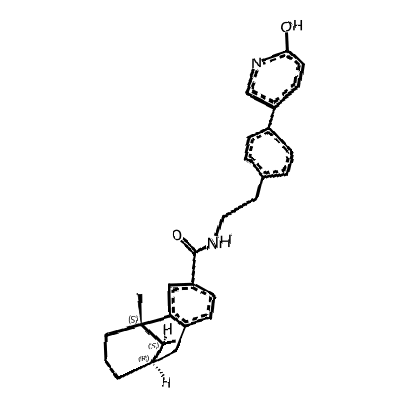 C[C@H]1[C@@H]2CCC[C@]1(C)c1cc(C(=O)NCCc3ccc(-c4ccc(O)nc4)cc3)ccc1C2